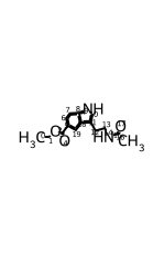 CCOC(=O)c1ccc2[nH]cc(CCNC(C)=O)c2c1